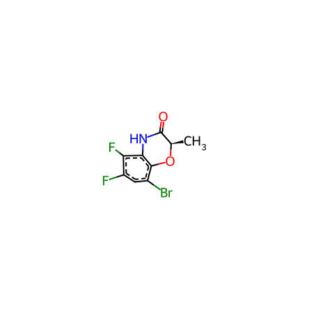 C[C@H]1Oc2c(Br)cc(F)c(F)c2NC1=O